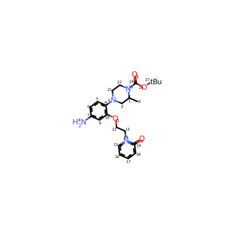 CC1CN(c2ccc(N)cc2OCCn2ccccc2=O)CCN1C(=O)OC(C)(C)C